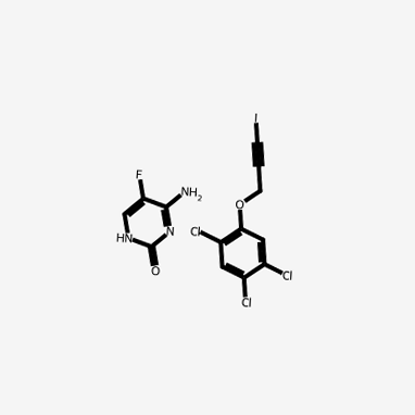 Clc1cc(Cl)c(OCC#CI)cc1Cl.Nc1nc(=O)[nH]cc1F